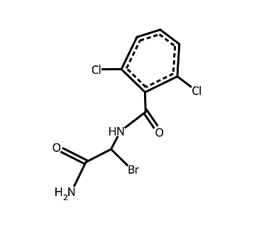 NC(=O)C(Br)NC(=O)c1c(Cl)cccc1Cl